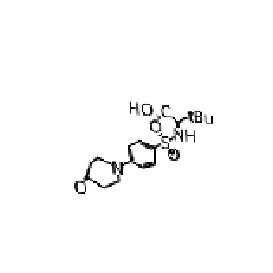 CC(C)(C)C(NS(=O)(=O)c1ccc(N2CCC(=O)CC2)cc1)C(=O)O